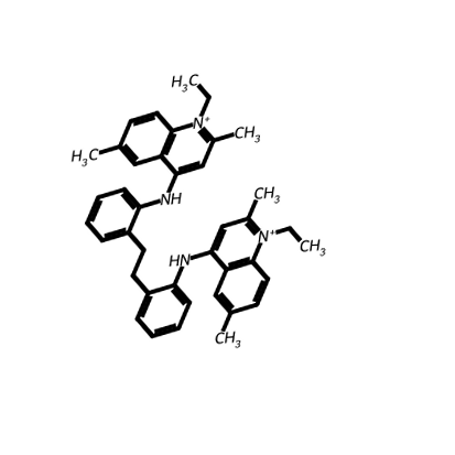 CC[n+]1c(C)cc(Nc2ccccc2CCc2ccccc2Nc2cc(C)[n+](CC)c3ccc(C)cc23)c2cc(C)ccc21